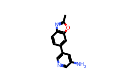 Cc1nc2ccc(-c3cncc(N)c3)cc2o1